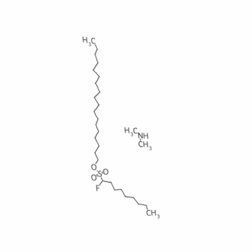 CCCCCCCCCCCCCCCCCCOS(=O)(=O)C(F)CCCCCCCC.CNC